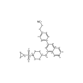 N#CCCc1ccc(-c2cc(OC3CCN(S(=O)(=O)C4CC4)CC3)c3cnccc3c2)cc1